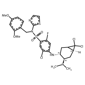 COc1ccc(CN(c2nccs2)S(=O)(=O)c2cc(Cl)c(N[C@@H]3CC4[C@H](C[C@H]3N(C)C)C4(Cl)Cl)cc2F)c(OC)c1